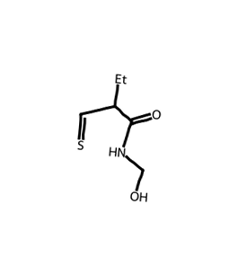 CCC(C=S)C(=O)NCO